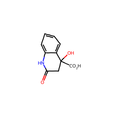 O=C1CC(O)(C(=O)O)c2ccccc2N1